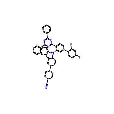 N#Cc1ccc(-c2ccc3c(c2)c2ccccc2n3-c2cc(-c3ccc(F)cc3F)ccc2-c2nc(-c3ccccc3)nc(-c3ccccc3)n2)cc1